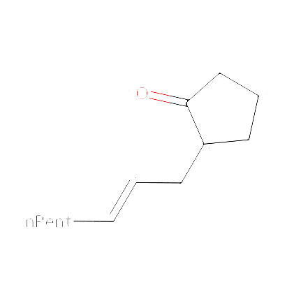 CCCCC/C=C/CC1CCCC1=O